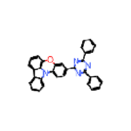 c1ccc(-c2nc(-c3ccccc3)nc(-c3ccc4c(c3)Oc3cccc5c6ccccc6n-4c35)n2)cc1